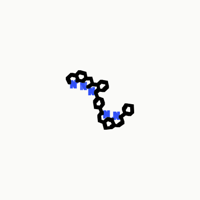 c1ccc(-c2ccc3ccc4ccc(-c5ccc(-c6nc7nc8c(ccc9cccnc98)cc7c7ccccc67)cc5)nc4c3n2)cc1